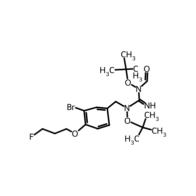 CC(C)(C)ON(C=O)C(=N)N(Cc1ccc(OCCCF)c(Br)c1)OC(C)(C)C